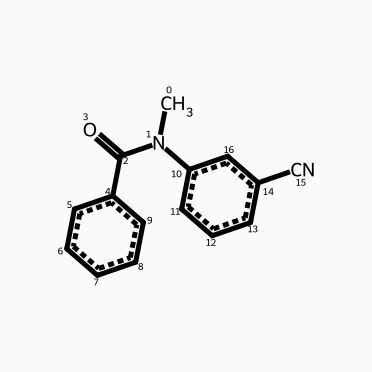 CN(C(=O)c1ccccc1)c1cccc(C#N)c1